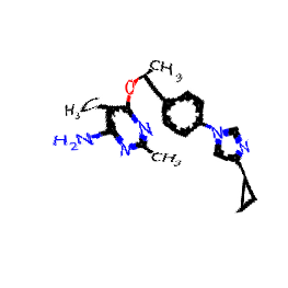 Cc1nc(N)c(C)c(O[C@@H](C)c2ccc(-n3cnc(C4CC4)c3)cc2)n1